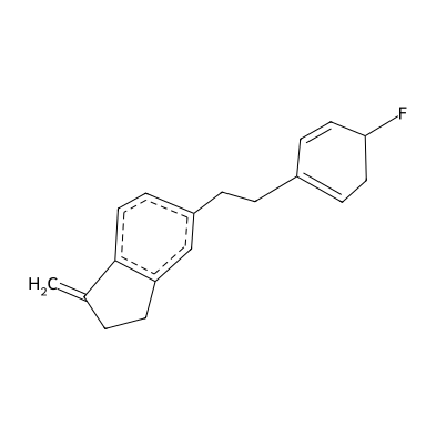 C=C1CCc2cc(CCC3=CCC(F)C=C3)ccc21